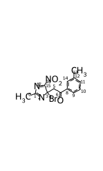 CC1=NC(Br)(CC(=O)c2cccc(C)c2)C([N+](=O)[O-])=N1